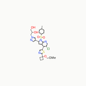 COCOC1(c2ncc(-c3c(Cl)cnc4c3cc(-c3cnn(CC(O)CO)c3)n4S(=O)(=O)c3ccc(C)cc3)s2)CCC1